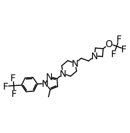 Cc1cc(N2CCN(CCN3CC(OC(F)(F)F)C3)CC2)nn1-c1ccc(C(F)(F)F)cc1